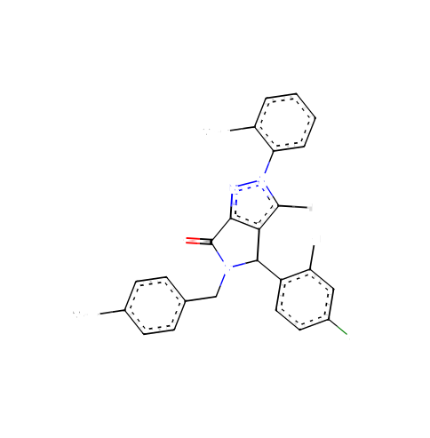 COc1ccc(CN2C(=O)c3nn(-c4ccccc4OC)c(C(C)C)c3C2c2ccc(Cl)cc2C)cc1